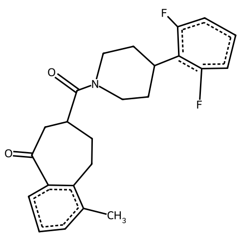 Cc1cccc2c1CCC(C(=O)N1CCC(c3c(F)cccc3F)CC1)CC2=O